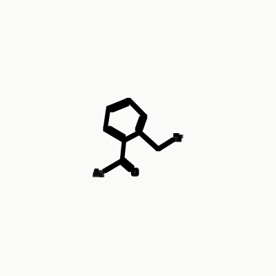 CC(=O)C(=O)c1ccccc1CBr